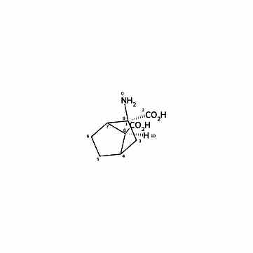 N[C@@]1(C(=O)O)CC2CCC1[C@H]2C(=O)O